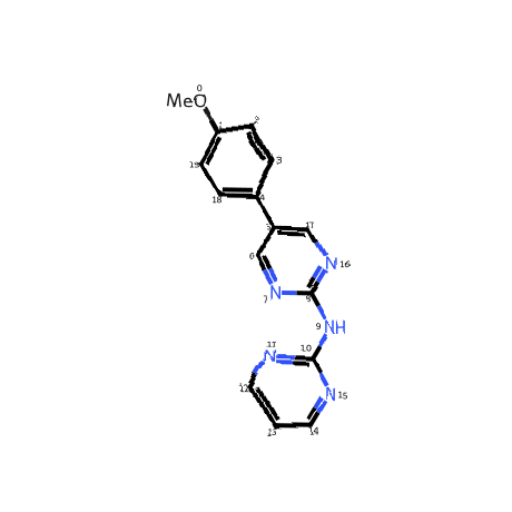 COc1ccc(-c2cnc(Nc3ncccn3)nc2)cc1